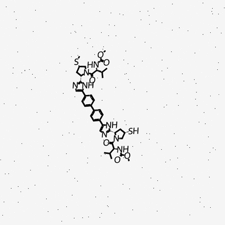 COC(=O)N[C@H](C(=O)N1C[C@@H](S)C[C@H]1c1ncc(-c2ccc(-c3ccc(-c4cnc([C@@H]5C[C@H](SC)CN5C(=O)[C@@H](NC(=O)OC)C(C)C)[nH]4)cc3)cc2)[nH]1)C(C)C